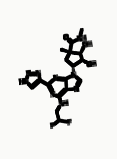 CNC(=O)[C@@]1(C)C[C@@H](n2cnc3c(NCC(F)F)nc(-c4c[nH]nn4)nc32)[C@H](O)[C@@H]1O